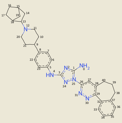 Nc1nc(Nc2ccc(C3CCN(C4CC5CCC4C5)CC3)cc2)nn1-c1cc2c(nn1)-c1ccccc1CCC2